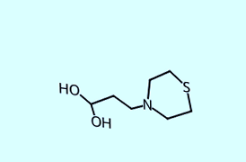 OC(O)CCN1CCSCC1